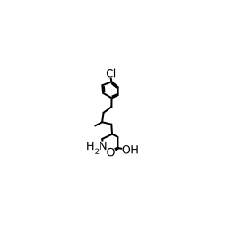 CC(CCc1ccc(Cl)cc1)CC(CN)CC(=O)O